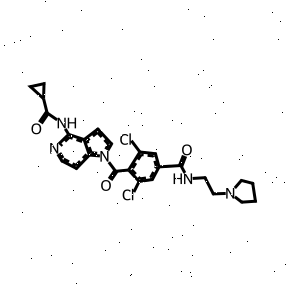 O=C(NCCN1CCCC1)c1cc(Cl)c(C(=O)n2ccc3c(NC(=O)C4CC4)nccc32)c(Cl)c1